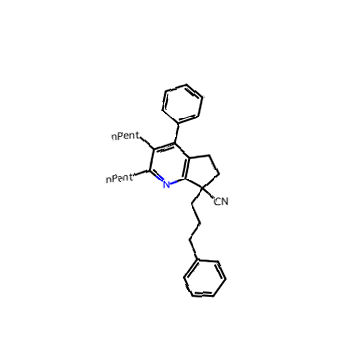 CCCCCc1nc2c(c(-c3ccccc3)c1CCCCC)CCC2(C#N)CCCc1ccccc1